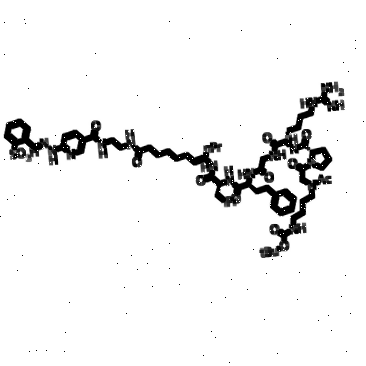 CCC/C(=C\CCCCCC(=O)NCCNC(=O)c1ccc(N/N=C/c2ccccc2S(=O)(=O)O)nc1)NC(=O)[C@H](CC(C)C)NC(=O)[C@H](CCc1ccccc1)NC(=O)CNC(=O)[C@H](CCCCNC(=N)N)NC(=O)[C@@H]1CCCN1C(=O)CN(CCCCNC(=O)OC(C)(C)C)C(C)=O